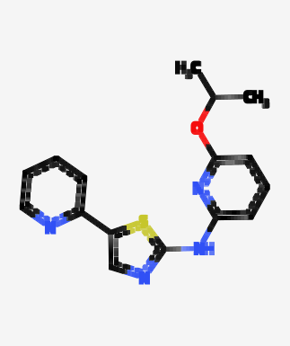 CC(C)Oc1cccc(Nc2ncc(-c3ccccn3)s2)n1